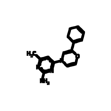 Cc1cc(N2C=COC(C3=CC=CCC3)=C2)nc(N)n1